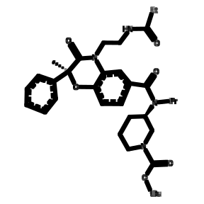 CCC(=O)NCCN1C(=O)[C@](C)(c2ccccc2)Oc2ccc(C(=O)N(C(C)C)[C@@H]3CCCN(C(=O)OC(C)(C)C)C3)cc21